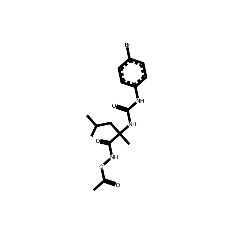 CC(=O)ONC(=O)C(C)(CC(C)C)NC(=O)Nc1ccc(Br)cc1